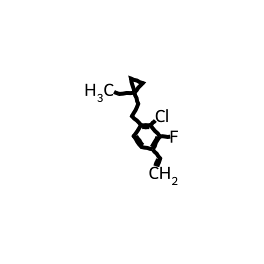 C=Cc1ccc(CCC2(CC)CC2)c(Cl)c1F